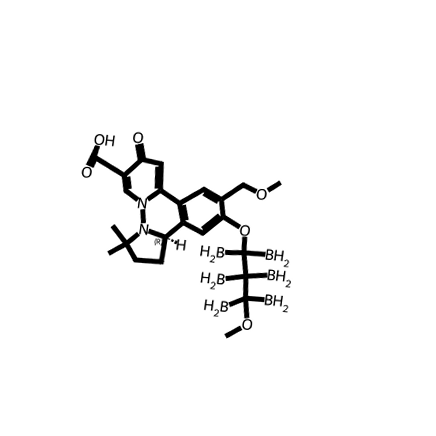 BC(B)(OC)C(B)(B)C(B)(B)Oc1cc2c(cc1COC)-c1cc(=O)c(C(=O)O)cn1N1[C@@H]2CCC1(C)C